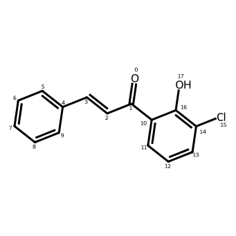 O=C(/C=C/c1ccccc1)c1cccc(Cl)c1O